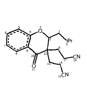 CC(C)CC1Oc2ccccc2C(=O)C1(CCC#N)CCC#N